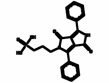 O=C1NC(c2ccccc2)=C2C(=O)N(CCCP(=O)(O)O)C(c3ccccc3)=C12